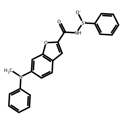 CN(c1ccccc1)c1ccc2cc(C(=O)N[S+]([O-])c3ccccc3)oc2c1